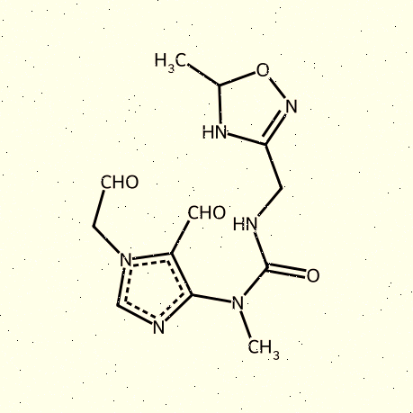 CC1NC(CNC(=O)N(C)c2ncn(CC=O)c2C=O)=NO1